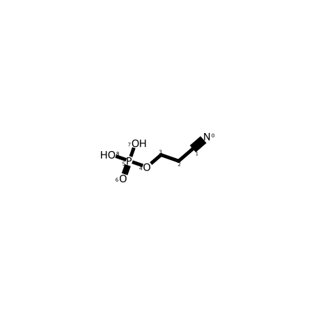 N#CCCOP(=O)(O)O